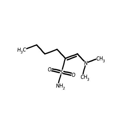 CCCC/C(=C/N(C)C)S(N)(=O)=O